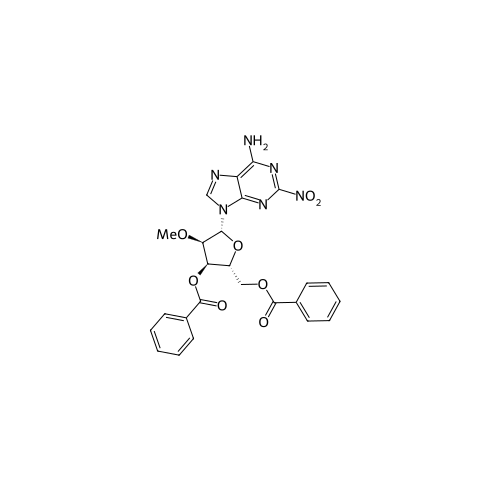 CO[C@@H]1[C@H](OC(=O)c2ccccc2)[C@@H](COC(=O)c2ccccc2)O[C@H]1n1cnc2c(N)nc([N+](=O)[O-])nc21